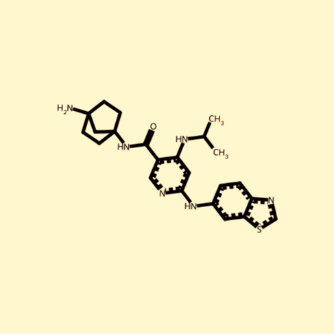 CC(C)Nc1cc(Nc2ccc3ncsc3c2)ncc1C(=O)NC12CCC(N)(CC1)C2